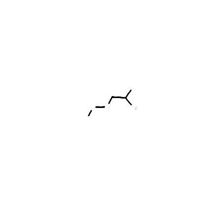 CC(N)C[SiH2]O[SiH3]